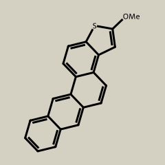 COc1cc2c(ccc3c4cc5ccccc5cc4ccc23)s1